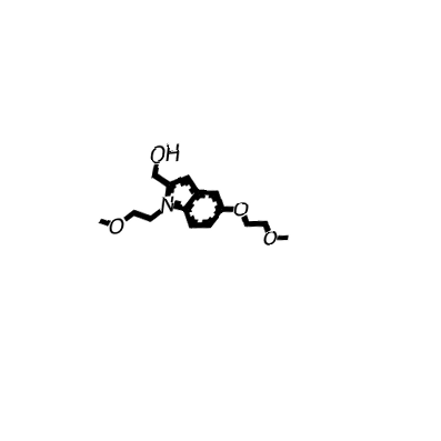 COCCOc1ccc2c(c1)cc(CO)n2CCOC